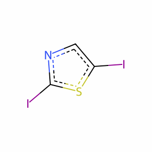 Ic1cnc(I)s1